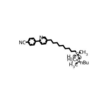 CCCC[Si](C)(C)O[Si](C)(C)CCCCCCCCCc1ccc(-c2ccc(C#N)cc2)nc1